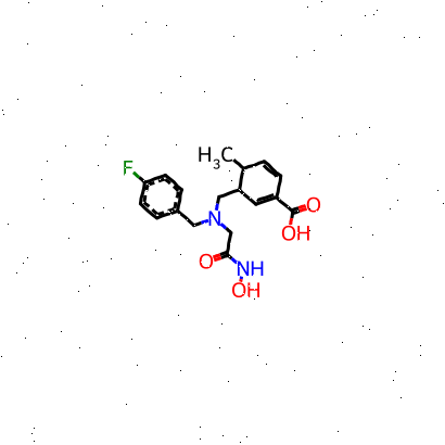 CC1C=CC(C(=O)O)=CC1CN(CC(=O)NO)Cc1ccc(F)cc1